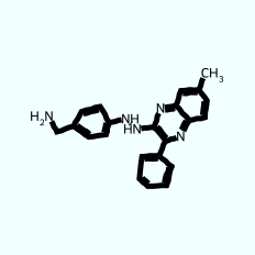 Cc1ccc2nc(-c3ccccc3)c(NNc3ccc(CN)cc3)nc2c1